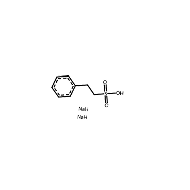 O=S(=O)(O)CCc1ccccc1.[NaH].[NaH]